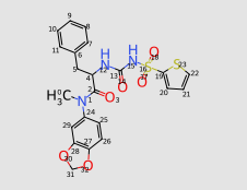 CN(C(=O)C(Cc1ccccc1)NC(=O)NS(=O)(=O)c1cccs1)c1ccc2c(c1)OCO2